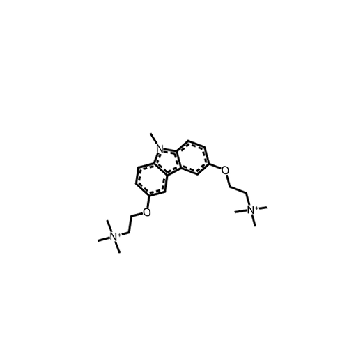 Cn1c2ccc(OCC[N+](C)(C)C)cc2c2cc(OCC[N+](C)(C)C)ccc21